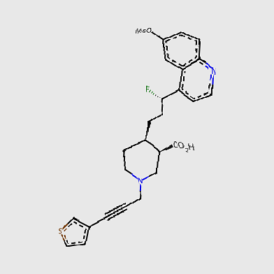 COc1ccc2nccc([C@@H](F)CC[C@@H]3CCN(CC#Cc4ccsc4)C[C@@H]3C(=O)O)c2c1